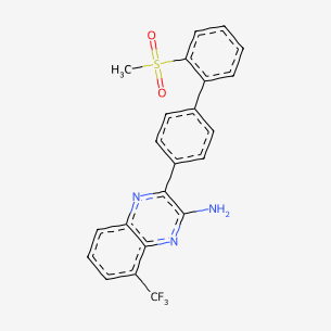 CS(=O)(=O)c1ccccc1-c1ccc(-c2nc3cccc(C(F)(F)F)c3nc2N)cc1